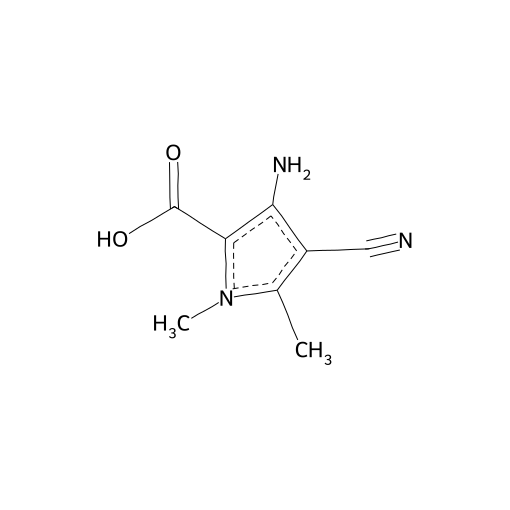 Cc1c(C#N)c(N)c(C(=O)O)n1C